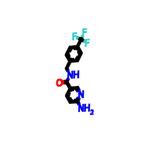 Nc1ccc(C(=O)NCc2ccc(C(F)(F)F)cc2)cn1